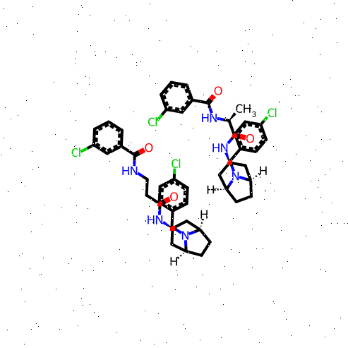 C[C@H](NC(=O)c1cccc(Cl)c1)C(=O)N[C@H]1C[C@H]2CC[C@@H](C1)N2Cc1ccc(Cl)cc1.O=C(CCNC(=O)c1cccc(Cl)c1)N[C@H]1C[C@H]2CC[C@@H](C1)N2Cc1ccc(Cl)cc1